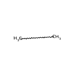 CCCCCCCCCCC[CH]CCCCCCCCCCCCCCCCCCC